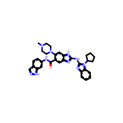 CN1CCN(c2cc3[nH]c(Nc4nc5ccccc5n4C4CCCC4)nc3cc2C(=O)Nc2ccc3cn[nH]c3c2)CC1